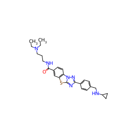 CCN(CC)CCCNC(=O)c1ccc2c(c1)sc1nc(-c3ccc(CNC4CC4)cc3)nn12